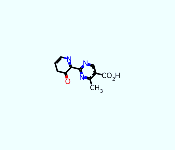 Cc1nc(C2=NC=CCC2=O)ncc1C(=O)O